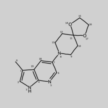 Cc1c[nH]c2ncc(N3CCC4(CC3)OCCO4)cc12